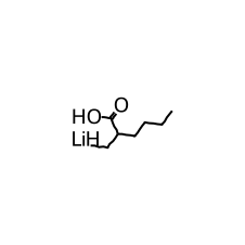 CCCCC(CC)C(=O)O.[LiH]